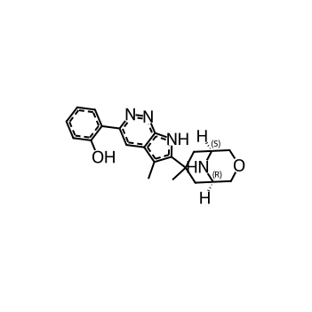 Cc1c(C2(C)C[C@H]3COC[C@@H](C2)N3)[nH]c2nnc(-c3ccccc3O)cc12